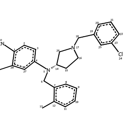 [C-]#[N+]c1ccc(N(Cc2ccccc2C)[C@H]2CCN(Cc3cccc(Cl)c3)C2)cc1Cl